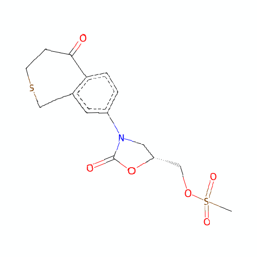 CS(=O)(=O)OC[C@H]1CN(c2ccc3c(c2)CSCCC3=O)C(=O)O1